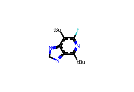 CC(C)(C)c1nc(F)c(C(C)(C)C)c2c1=NCN=2